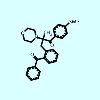 CSc1ccc(C(=O)C(C)(Cc2ccccc2C(=O)c2ccccc2)N2CCOCC2)cc1